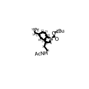 CC(=O)NCCc1cn(C(=O)OC(C)(C)C)c2ccc(CC(C)C)cc12